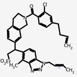 C=CCCc1ccc(C(=O)N2CCc3ccc(C(CC(=O)OCC)c4ccc5c(nnn5C/C=C/C)c4C)cc3C2)c(Cl)c1